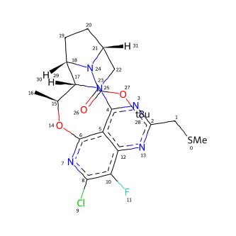 CSCc1nc2c3c(nc(Cl)c(F)c3n1)O[C@@H](C)[C@@H]1[C@@H]3CC[C@H](CN21)N3C(=O)OC(C)(C)C